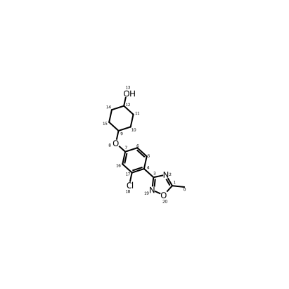 Cc1nc(-c2ccc(OC3CCC(O)CC3)cc2Cl)no1